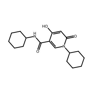 O=C(NC1CCCCC1)c1cn(C2CCCCC2)c(=O)cc1O